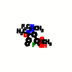 Cc1nc(-c2cc(-c3cc(F)c(CO)c(S(C)(=O)=O)c3)ccc2-n2cc(C(F)(F)F)nc2C)c(-c2ccc3c(c2)CCC3)o1